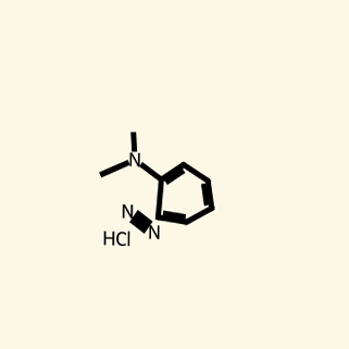 CN(C)c1ccccc1.Cl.N#N